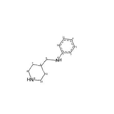 c1ccc(NCC2CCNCC2)cc1